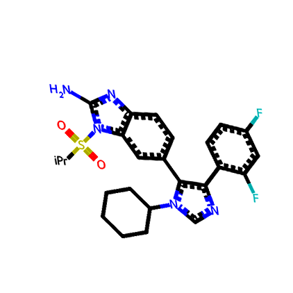 CC(C)S(=O)(=O)n1c(N)nc2ccc(-c3c(-c4ccc(F)cc4F)ncn3C3CCCCC3)cc21